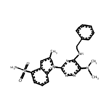 Cc1cc2c(S(N)(=O)=O)cccc2n1-c1nnc(N(C)C)c(NCc2ccccc2)n1